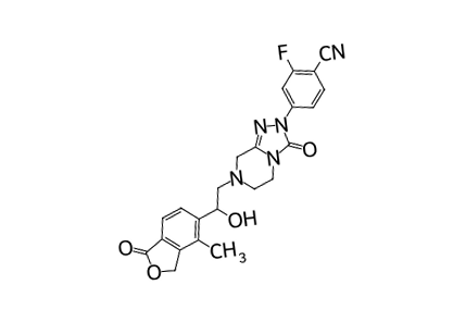 Cc1c(C(O)CN2CCn3c(nn(-c4ccc(C#N)c(F)c4)c3=O)C2)ccc2c1COC2=O